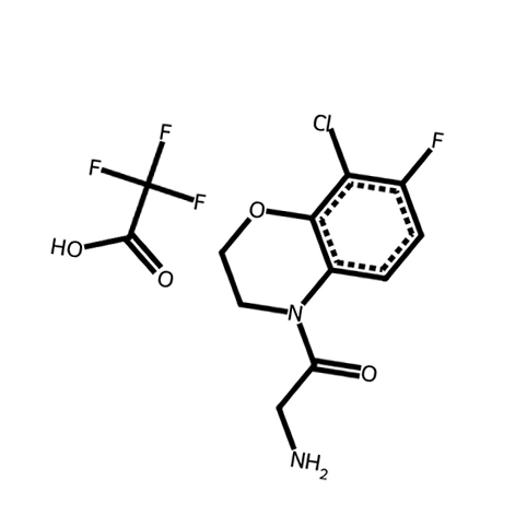 NCC(=O)N1CCOc2c1ccc(F)c2Cl.O=C(O)C(F)(F)F